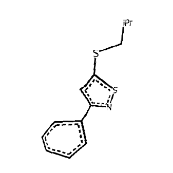 CC(C)CSc1cc(-c2ccccc2)ns1